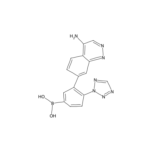 Nc1cnnc2cc(-c3cc(B(O)O)ccc3-n3ncnn3)ccc12